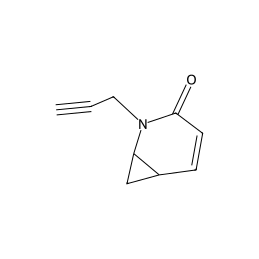 C#CCN1C(=O)C=CC2CC21